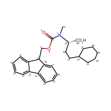 CN(C(=O)OCC1c2ccccc2-c2ccccc21)[C@@H](CCC1CCCCC1)C(=O)O